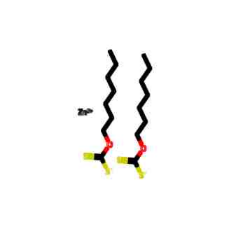 CCCCCCCOC(=S)[S-].CCCCCCCOC(=S)[S-].[Zn+2]